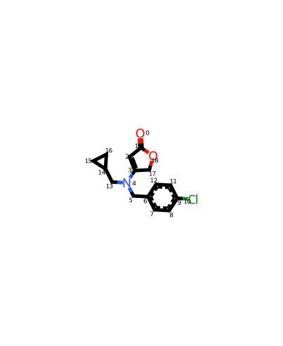 O=C1C=C(N(Cc2ccc(Cl)cc2)CC2CC2)CO1